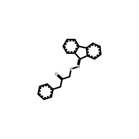 O=C(CON=C1c2ccccc2-c2ccccc21)Cc1ccccc1